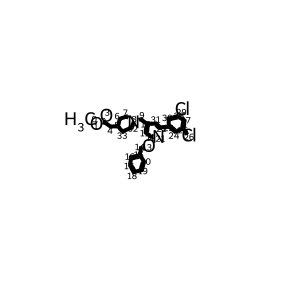 COC(=O)CC1CCN(Cc2cc(OCc3ccccc3)nc(-c3cc(Cl)cc(Cl)c3)c2)CC1